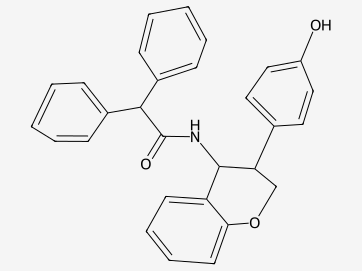 O=C(NC1c2ccccc2OCC1c1ccc(O)cc1)C(c1ccccc1)c1ccccc1